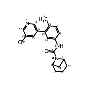 Cc1ccc(NC(=O)N2C3CCCC2C3)cc1-c1cncc(Cl)c1